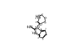 N=c1[nH]c2ccccc2n1C1CCCNC1